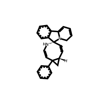 C1=CCN2C(=C1)c1ccccc1[C@@]21N/C=C\C2(c3ccccc3)C[C@H]2c2ccccc21